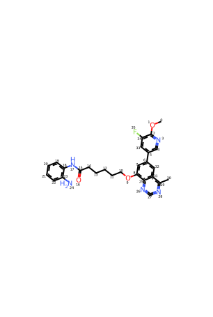 COc1ncc(-c2cc(OCCCCCC(=O)Nc3ccccc3N)c3ncnc(C)c3c2)cc1F